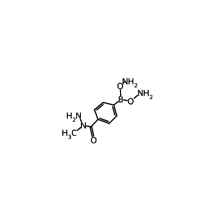 CN(N)C(=O)c1ccc(B(ON)ON)cc1